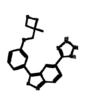 CC1(COc2cccc(-c3onc4ccc(C5=NNNN5)cc34)c2)COC1